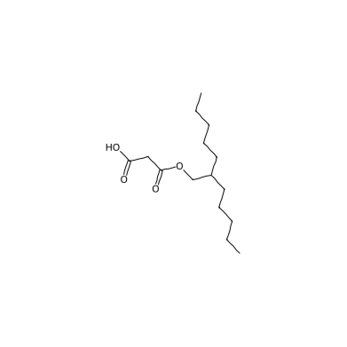 CCCCCC(CCCCC)COC(=O)CC(=O)O